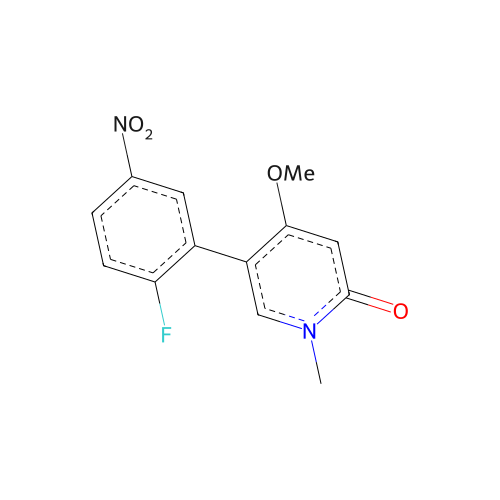 COc1cc(=O)n(C)cc1-c1cc([N+](=O)[O-])ccc1F